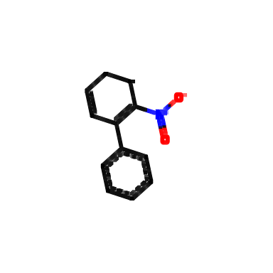 O=[N+]([O-])C1=C(c2ccccc2)C=CC[CH]1